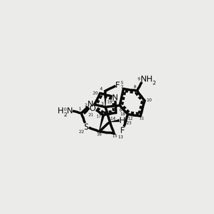 NC1=N[C@](CF)(c2cc(N)ccc2F)[C@@H]2C[C@]2(c2cnco2)S1